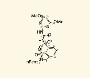 CCCCCN1Cc2cccc(S(=O)(=O)NC(=O)Nc3nc(OC)cc(OC)n3)c2S1(=O)=O